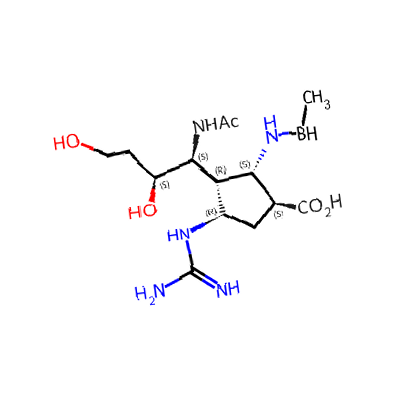 CBN[C@H]1[C@@H]([C@H](NC(C)=O)[C@@H](O)CCO)[C@H](NC(=N)N)C[C@@H]1C(=O)O